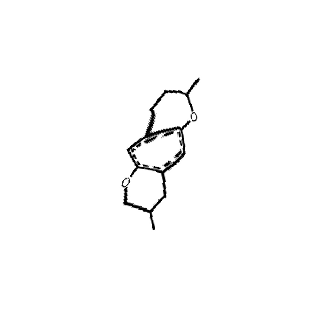 CC1COc2cc3c(cc2C1)OC(C)CC3